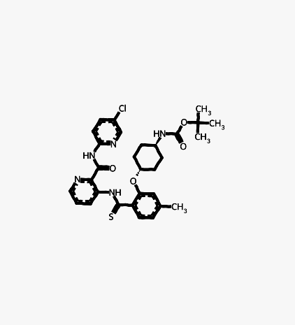 Cc1ccc(C(=S)Nc2cccnc2C(=O)Nc2ccc(Cl)cn2)c(O[C@H]2CC[C@H](NC(=O)OC(C)(C)C)CC2)c1